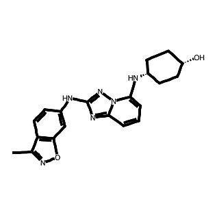 Cc1noc2cc(Nc3nc4cccc(N[C@H]5CC[C@@H](O)CC5)n4n3)ccc12